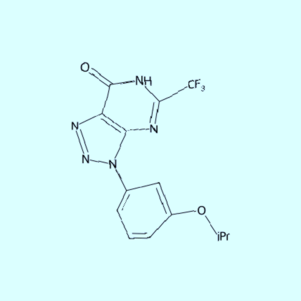 CC(C)Oc1cccc(-n2nnc3c(=O)[nH]c(C(F)(F)F)nc32)c1